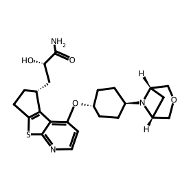 NC(=O)[C@@H](O)C[C@H]1CCc2sc3nccc(O[C@H]4CC[C@H](N5[C@@H]6COC[C@H]5C6)CC4)c3c21